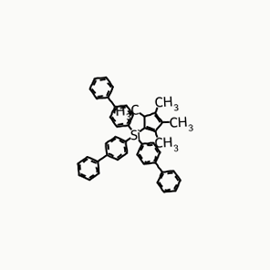 CC1=C(C)C(C)C([Si](c2ccc(-c3ccccc3)cc2)(c2ccc(-c3ccccc3)cc2)c2ccc(-c3ccccc3)cc2)=C1C